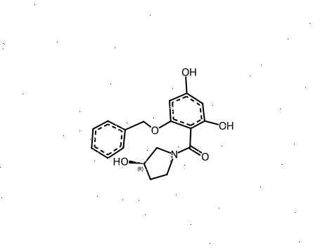 O=C(c1c(O)cc(O)cc1OCc1ccccc1)N1CC[C@@H](O)C1